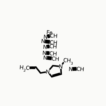 C#N.C#N.C#N.C#N.C#N.C#N.C=CCN1C=CN(C)C1.[Fe]